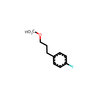 O=C(O)OCCCc1ccc(F)cc1